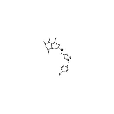 C=C1CN(C)c2cc(NCc3cnn(Cc4ccc(F)cc4)c3)nc(C)c2N1C